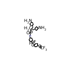 [CH2]C(COC(=O)/C=C/c1ccc(C(F)(F)Oc2ccc(OCC(F)(F)F)cc2F)cc1)(Cc1ccc(N)cc1)Cc1ccc(N)cc1